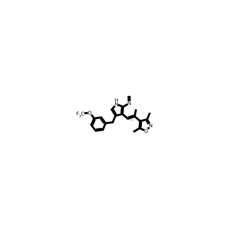 C=Nc1[nH]cc(Cc2cccc(OC(F)(F)F)c2)c1/C=C(\C)c1c(C)noc1C